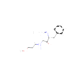 CC(C)OCCCNC[C@H](O)[C@H](Cc1ccccc1)NC(=O)O